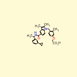 Cc1cc(OCC(=O)O)ccc1Cn1c(C)c(C)c2cc(C(=O)NC(C)c3cccc(C4CC4)c3)ccc21